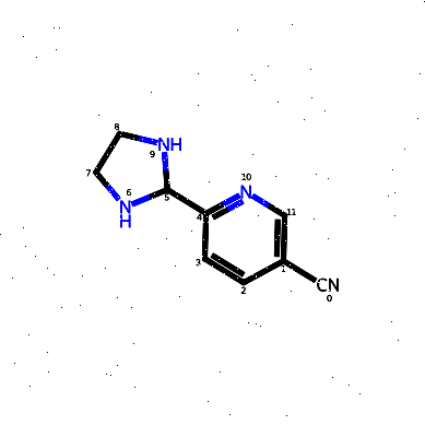 N#Cc1ccc(C2NCCN2)nc1